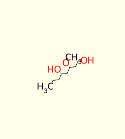 CCCC(O)CC(CCO)OC